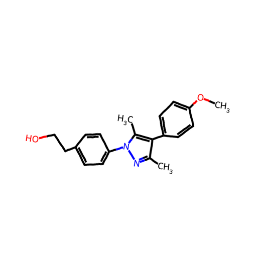 COc1ccc(-c2c(C)nn(-c3ccc(CCO)cc3)c2C)cc1